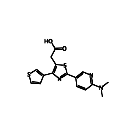 CN(C)c1ccc(-c2nc(-c3ccsc3)c(CC(=O)O)s2)cn1